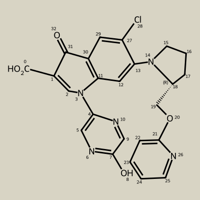 O=C(O)c1cn(-c2cnc(O)cn2)c2cc(N3CCC[C@@H]3COc3ccccn3)c(Cl)cc2c1=O